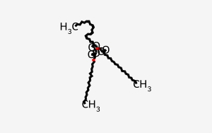 CCCCC/C=C\C/C=C\C/C=C\C/C=C\CCCC(=O)OC(COC(=O)CCCCCCCCCCCCCCCCCCC)COC(=O)CCCCCCCCCCCCCCCCCCCCC